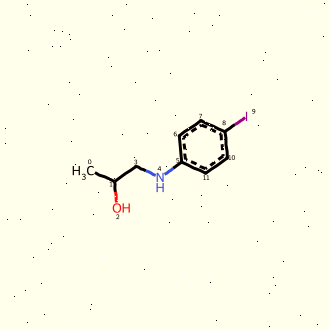 C[C](O)CNc1ccc(I)cc1